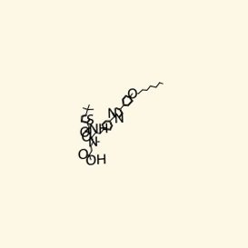 CCCCCCCOc1ccc(-c2cnc(-c3ccc(C[C@H](NC(=O)c4ccc(C(C)(C)C)s4)C(=O)N(C)CCC(=O)O)cc3)nc2)cc1